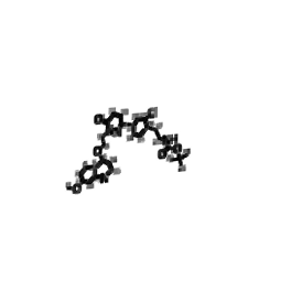 COc1ccc2c(OCCn3nc(-c4ccc(CCNC(=O)OC(C)(C)C)c(Cl)c4)ccc3=O)ccnc2c1